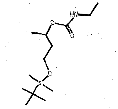 CCNC(=O)O[C@H](C)CCO[Si](C)(C)C(C)(C)C